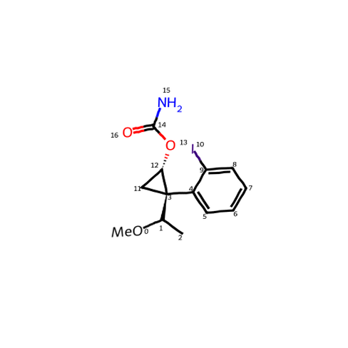 COC(C)[C@@]1(c2ccccc2I)C[C@@H]1OC(N)=O